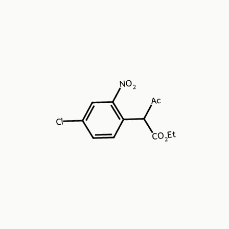 CCOC(=O)C(C(C)=O)c1ccc(Cl)cc1[N+](=O)[O-]